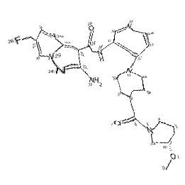 CO[C@H]1CCN(C(=O)C2CCN(c3ccncc3NC(=O)c3c(N)nn4cc(F)cnc34)CC2)C1